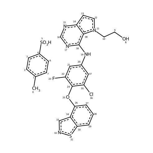 Cc1ccc(S(=O)(=O)O)cc1.OCCn1ccc2ncnc(Nc3cc(F)c(Oc4cccc5sncc45)c(Cl)c3)c21